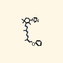 CC1=C(/C=C/C(C)=C/C=C/C(C)=C\COc2ccccc2)C(C)(C)CCC1n1ccnc1